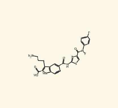 NCCCc1c(C(=O)O)[nH]c2ccc(C(=O)Nc3nc(C(=O)N(F)c4ccc(F)cc4)cs3)cc12